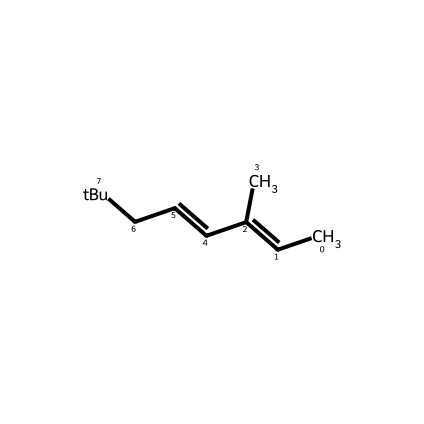 C/C=C(C)/C=C/CC(C)(C)C